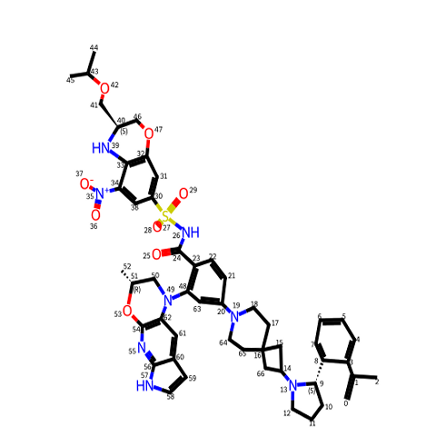 C=C(C)c1ccccc1[C@@H]1CCCN1C1CC2(CCN(c3ccc(C(=O)NS(=O)(=O)c4cc5c(c([N+](=O)[O-])c4)N[C@@H](COC(C)C)CO5)c(N4C[C@@H](C)Oc5nc6[nH]ccc6cc54)c3)CC2)C1